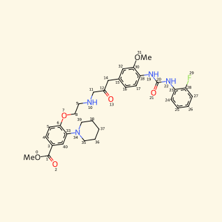 COC(=O)c1ccc(OCCNCC(=O)Cc2ccc(NC(=O)Nc3ccccc3F)c(OC)c2)c(N2CCCCC2)c1